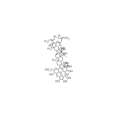 C/C=C(/C)CC(=O)O[C@H]1[C@H](OC(=O)/C(C)=C\C)C(C)(C)CC2C3=CCC4[C@@]5(C)CC[C@H](O[C@@H]6OC(C(=O)O)[C@@H](O)C(O[C@@H]7O[C@@H](CO)C(O)C7O)C6O[C@@H]6OC(CO)[C@@H](O)C(O)C6O)[C@](C)(CO)C5CC[C@@]4(C)[C@]3(C)[C@@H](O)[C@@H](O)[C@]21CO